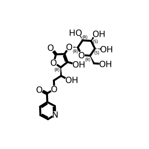 O=C1O[C@H](C(O)COC(=O)c2cccnc2)C(O)=C1O[C@H]1O[C@H](CO)[C@@H](O)[C@H](O)[C@H]1O